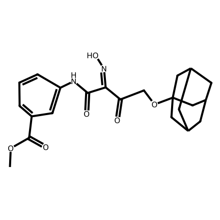 COC(=O)c1cccc(NC(=O)C(=NO)C(=O)COC23CC4CC(CC(C4)C2)C3)c1